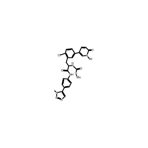 CC(C)n1cc(-c2ccc(Cl)c(CC(NC(=O)OC(C)(C)C)C(=O)Nc3ccc(-c4cnnn4C)cc3)c2)ccc1=O